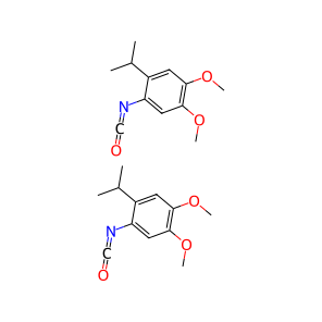 COc1cc(N=C=O)c(C(C)C)cc1OC.COc1cc(N=C=O)c(C(C)C)cc1OC